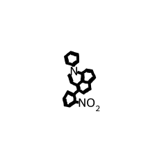 O=[N+]([O-])c1ccccc1-c1ccc2cccc3c2c1C=CN3c1ccccc1